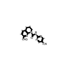 N#Cc1cnc(NC(=O)N2CCCc3ccc(C=O)nc32)nc1